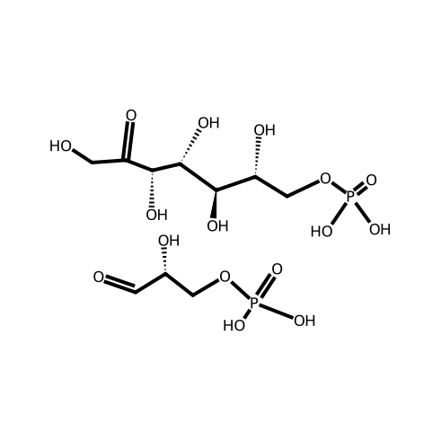 O=C(CO)[C@@H](O)[C@H](O)[C@H](O)[C@H](O)COP(=O)(O)O.O=C[C@H](O)COP(=O)(O)O